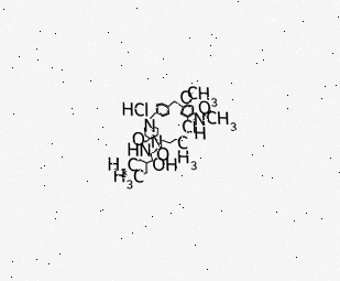 CCCCN1C(=O)[C@@H]([C@H](O)C(CC)CC)NC(=O)C12CCN(Cc1ccc(Cc3cc(Cl)c(NC(C)=O)cc3OC)cc1)CC2.Cl